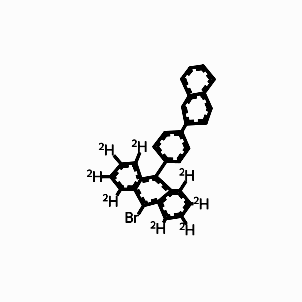 [2H]c1c([2H])c([2H])c2c(-c3ccc(-c4ccc5ccccc5c4)cc3)c3c([2H])c([2H])c([2H])c([2H])c3c(Br)c2c1[2H]